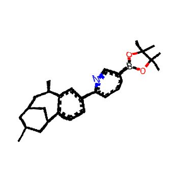 CC1CC2CC(C)c3cc(-c4ccc(B5OC(C)(C)C(C)(C)O5)cn4)ccc3C(C1)C2